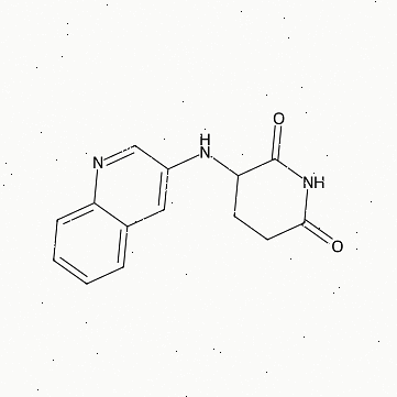 O=C1CCC(Nc2cnc3ccccc3c2)C(=O)N1